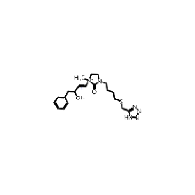 C[N+]1(/C=C/C(O)Cc2ccccc2)CCN(CCCCSCc2nnn[nH]2)C1=O